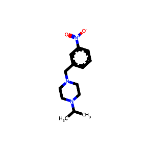 CC(C)N1CCN(Cc2cccc([N+](=O)[O-])c2)CC1